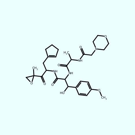 COc1ccc(C(O)C(NC(=O)C(C)NC(=O)CN2CCOCC2)C(=O)NC(CC2=CCCC2)C(=O)C2(C)CO2)cc1